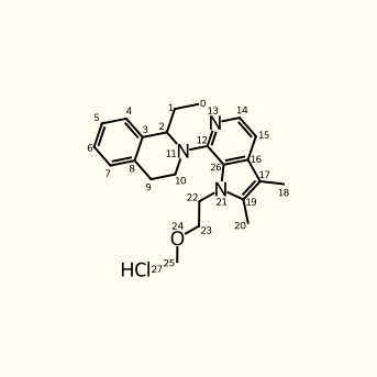 CCC1c2ccccc2CCN1c1nccc2c(C)c(C)n(CCOC)c12.Cl